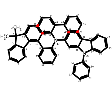 CC1(C)c2ccccc2-c2c(-c3ccccc3N(c3ccc4c5ccccc5n(-c5ccccc5)c4c3)c3ccccc3-c3ccccc3)cccc21